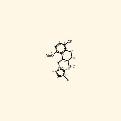 COc1ccc(Cl)c2c1C(Cn1cc(C)cn1)N(C=O)CC2